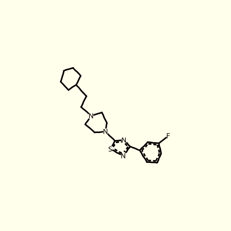 Fc1cccc(-c2nsc(N3CCN(CCC4CCCCC4)CC3)n2)c1